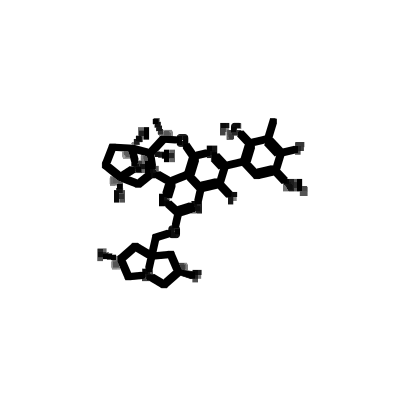 Cc1c(F)c(N)cc(-c2nc3c4c(nc(OCC56C[C@@H](F)CN5C[C@H](F)C6)nc4c2F)N2C[C@H]4CC[C@H](N4)[C@H]2[C@H](C)O3)c1C(F)(F)F